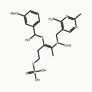 COc1cccc(C(O)S/C(CCOP(=O)(O)O)=C(/C)N(C=O)Cc2cnc(C)nc2N)c1